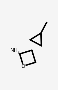 C1COC1.CC1CC1.N